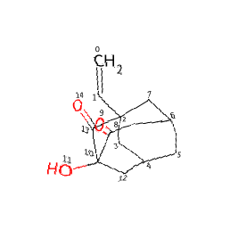 C=CC12CC3CC(C1)C(=O)C(O)(C3)C2=O